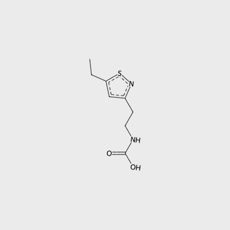 CCc1cc(CCNC(=O)O)ns1